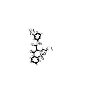 CCCN1C(C(=O)Nc2cccc(OC)c2)C(=O)c2ccccc2S1(=O)=O